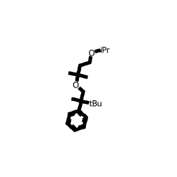 CC(C)OCCC(C)(C)OCC(C)(c1ccccc1)C(C)(C)C